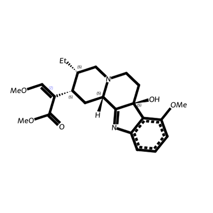 CC[C@@H]1CN2CC[C@@]3(O)C(=Nc4cccc(OC)c43)[C@@H]2C[C@@H]1/C(=C/OC)C(=O)OC